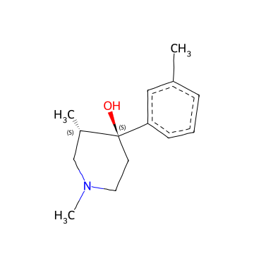 Cc1cccc([C@]2(O)CCN(C)C[C@@H]2C)c1